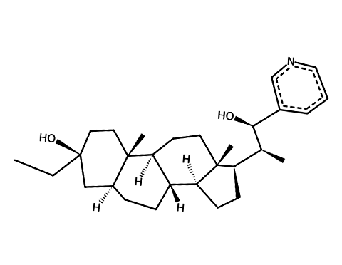 CC[C@]1(O)CC[C@@]2(C)[C@@H](CC[C@@H]3[C@@H]2CC[C@]2(C)[C@@H]([C@H](C)[C@@H](O)c4cccnc4)CC[C@@H]32)C1